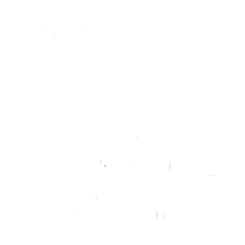 BC(=O)CCCCCN1C(=O)CC([C@@](B)(C)CC)C1=O